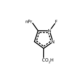 CCCc1cc(C(=O)O)nn1F